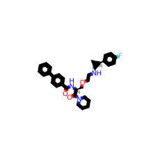 O=C(N[C@@H](COCCN[C@@H]1C[C@H]1c1ccc(F)cc1)C(=O)N1CCCCC1)c1ccc(-c2ccccc2)cc1